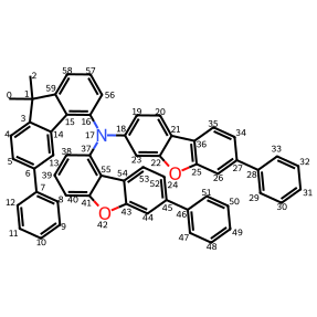 CC1(C)c2ccc(-c3ccccc3)cc2-c2c(N(c3ccc4c(c3)oc3cc(-c5ccccc5)ccc34)c3cccc4oc5cc(-c6ccccc6)ccc5c34)cccc21